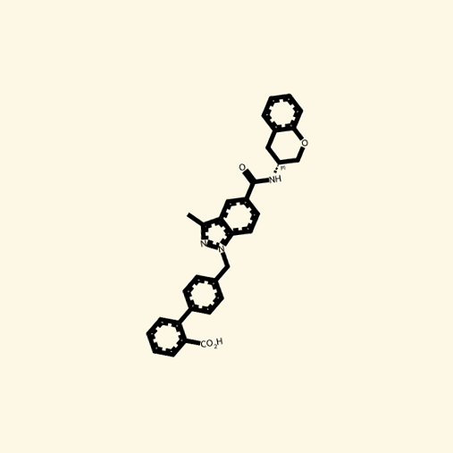 Cc1nn(Cc2ccc(-c3ccccc3C(=O)O)cc2)c2ccc(C(=O)N[C@H]3COc4ccccc4C3)cc12